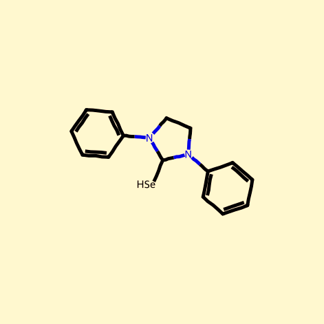 [SeH]C1N(c2ccccc2)CCN1c1ccccc1